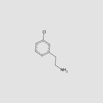 NCCc1[c]ccc(Cl)c1